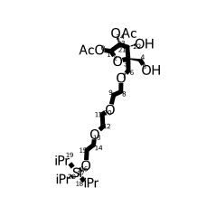 CC(=O)OC1O[C@@](CO)(COCCOCCOCCO[Si](C(C)C)(C(C)C)C(C)C)[C@@H](O)[C@H]1OC(C)=O